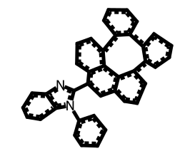 c1ccc(-n2c(-c3cc4cccc5c6ccccc6c6ccccc6c6cccc3c6c45)nc3ccccc32)cc1